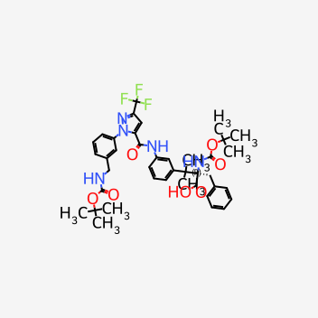 CC(C)(C)OC(=O)NCc1cccc(-n2nc(C(F)(F)F)cc2C(=O)Nc2cccc(C(C)(C)[C@@](Cc3ccccc3)(NC(=O)OC(C)(C)C)C(=O)O)c2)c1